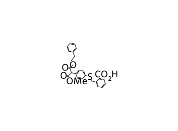 COC(=O)C(C(=O)OCCc1ccccc1)c1ccc(SCc2ccccc2C(=O)O)cc1